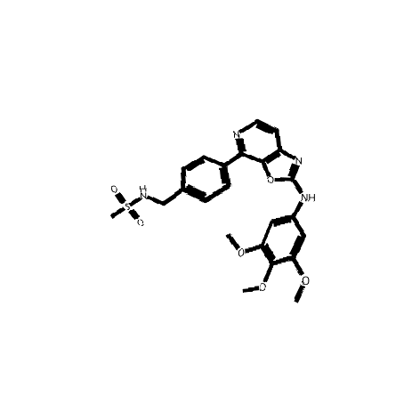 COc1cc(Nc2nc3ccnc(-c4ccc(CNS(C)(=O)=O)cc4)c3o2)cc(OC)c1OC